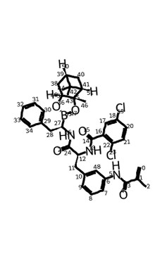 C=C(C)C(=O)Nc1cccc(C[C@H](NC(=O)c2cc(Cl)ccc2Cl)C(=O)N[C@@H](Cc2ccccc2)B2O[C@@H]3C[C@@H]4C[C@@H](C4(C)C)[C@]3(C)O2)c1